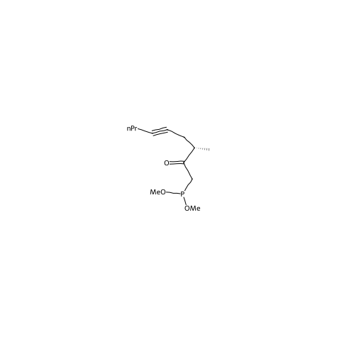 CCCC#CC[C@H](C)C(=O)CP(OC)OC